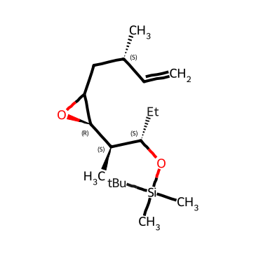 C=C[C@@H](C)CC1O[C@@H]1[C@H](C)[C@H](CC)O[Si](C)(C)C(C)(C)C